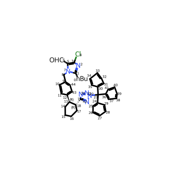 CCCCc1nc(Cl)c(C=O)n1Cc1ccc([C@@H]2CCCC[C@H]2c2nnn(C(c3ccccc3)(c3ccccc3)c3ccccc3)n2)cc1